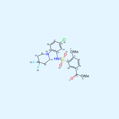 COC(=O)c1ccc(OC)c(S(=O)(=O)Nc2cc(Cl)ccc2N2CCC(F)(F)CC2)c1